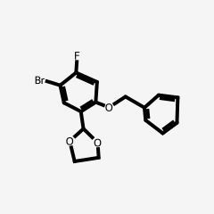 Fc1cc(OCc2ccccc2)c(C2OCCO2)cc1Br